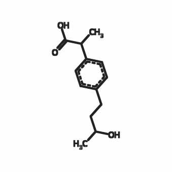 CC(O)CCc1ccc(C(C)C(=O)O)cc1